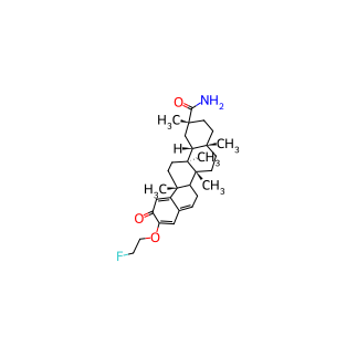 C[C@@]1(C(N)=O)CC[C@]2(C)CC[C@]3(C)C4CC=C5C=C(OCCF)C(=O)C=C5[C@]4(C)CC[C@@]3(C)[C@@H]2C1